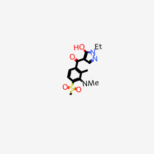 CCn1ncc(C(=O)c2ccc(S(C)(=O)=O)c(NC)c2C)c1O